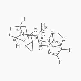 N[C@H](Cc1cc(F)c(F)cc1F)[C@@H]1C[C@H]2CC[C@@H](C1)N2C(=O)C1(S(=O)(=O)N2CCOCC2)CC1